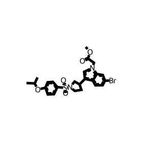 COC(=O)Cn1cc(C2CCN(S(=O)(=O)c3ccc(OC(C)C)cc3)C2)c2ccc(Br)cc21